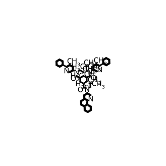 Cc1cc(N(CC(C)(C)C)C(=O)C2CC(C(=O)N(CC(C)(C)C)c3cnc(-c4ccccc4)c(C)c3)CC(C(=O)N(CC(C)(C)C)c3cnc4c(ccc5ccccc54)c3)C2)cnc1-c1ccccc1